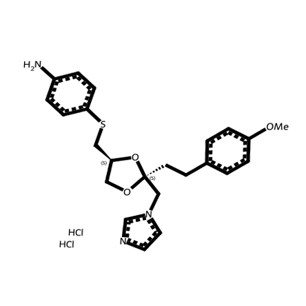 COc1ccc(CC[C@]2(Cn3ccnc3)OC[C@@H](CSc3ccc(N)cc3)O2)cc1.Cl.Cl